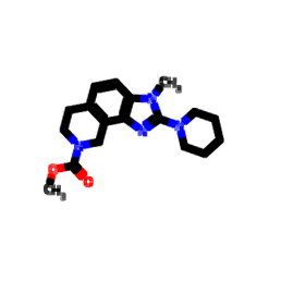 COC(=O)N1CCc2ccc3c(nc(N4CCCCC4)n3C)c2C1